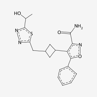 CC(O)c1nnc(CC2CC(c3c(C(N)=O)noc3-c3ccccc3)C2)s1